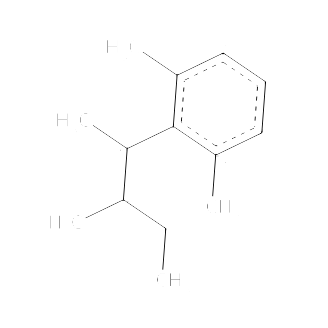 CC[C](C)C(C)c1c(C)cccc1C